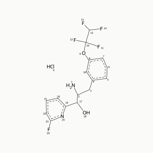 Cl.NC(Cc1cccc(OC(F)(F)C(F)F)c1)C(O)c1cccc(F)n1